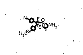 COCc1ccc(-c2c(-c3ccc(C#N)cc3)c(F)c(C(=O)N3CCC[C@@H](N)C3)n2C)cc1